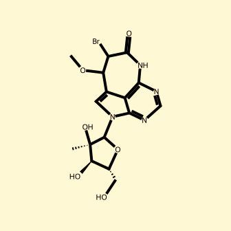 COC1c2cn(C3O[C@H](CO)[C@@H](O)[C@@]3(C)O)c3ncnc(c23)NC(=O)C1Br